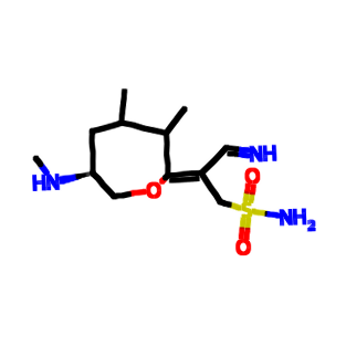 CN[C@@H]1CO/C(=C(/C=N)CS(N)(=O)=O)C(C)C(C)C1